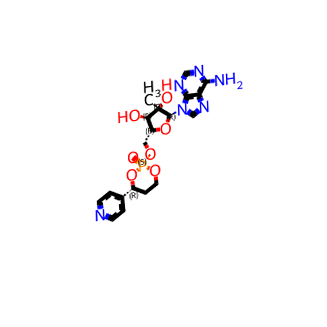 C[C@@]1(O)[C@H](O)[C@@H](CO[P@]2(=O)OCC[C@H](c3ccncc3)O2)O[C@H]1n1cnc2c(N)ncnc21